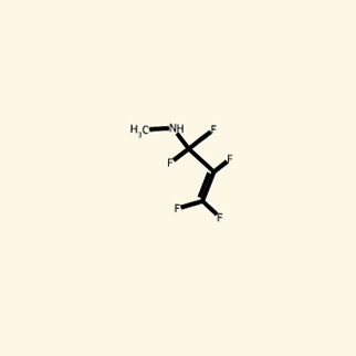 CNC(F)(F)C(F)=C(F)F